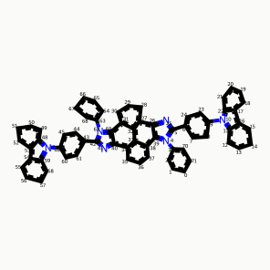 c1ccc(-n2c(-c3ccc(-n4c5ccccc5c5ccccc54)cc3)nc3c4cccc5c4c4c(cccc4c32)c2nc(-c3ccc(-n4c6ccccc6c6ccccc64)cc3)n(-c3ccccc3)c52)cc1